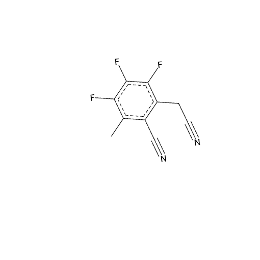 Cc1c(F)c(F)c(F)c(CC#N)c1C#N